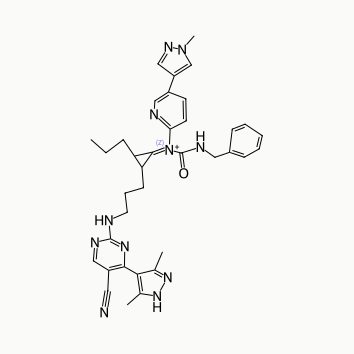 CCCC1/C(=[N+](/C(=O)NCc2ccccc2)c2ccc(-c3cnn(C)c3)cn2)C1CCCNc1ncc(C#N)c(-c2c(C)n[nH]c2C)n1